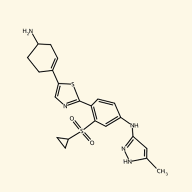 Cc1cc(Nc2ccc(-c3ncc(C4=CCC(N)CC4)s3)c(S(=O)(=O)C3CC3)c2)n[nH]1